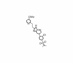 CCc1cc(S(=O)(=O)N(C)C)ccc1-c1cnc2[nH]c(CCc3cc(OC)ccn3)nc2c1